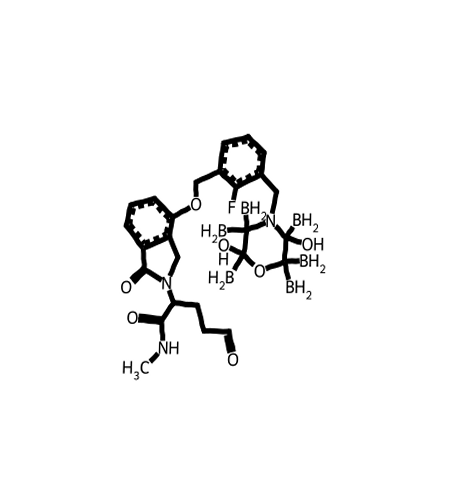 BC1(B)OC(B)(O)C(B)(B)N(Cc2cccc(COc3cccc4c3CN(C(CCC=O)C(=O)NC)C4=O)c2F)C1(B)O